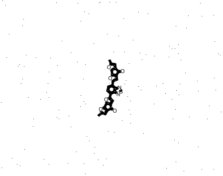 Cc1cc2c(o1)-c1oc(-c3ccc(-c4cc5c(o4)-c4oc(C)cc4C5=O)c4nsnc34)cc1C2=O